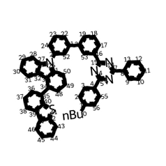 CCCCc1ccc(-c2nc(-c3ccccc3)nc(-c3cccc(-c4cccc(-n5c6ccccc6c6c(-c7cccc8c7sc7ccccc78)cccc65)c4)c3)n2)cc1